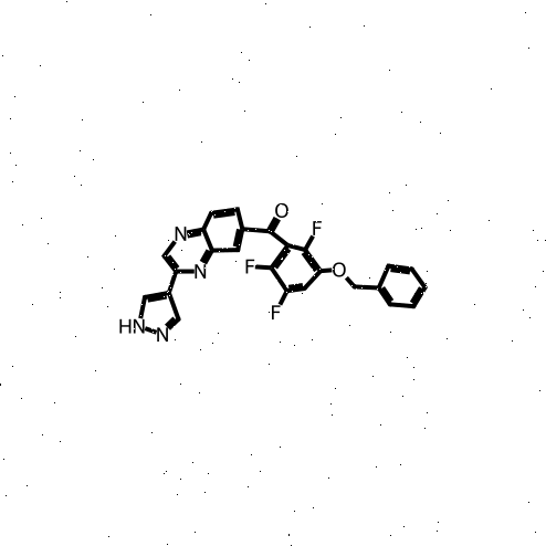 O=C(c1ccc2ncc(-c3cn[nH]c3)nc2c1)c1c(F)c(F)cc(OCc2ccccc2)c1F